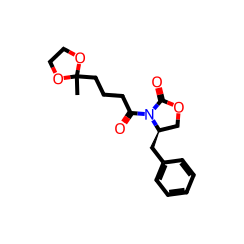 CC1(CCCC(=O)N2C(=O)OC[C@H]2Cc2ccccc2)OCCO1